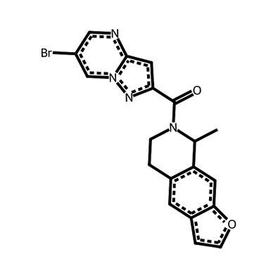 CC1c2cc3occc3cc2CCN1C(=O)c1cc2ncc(Br)cn2n1